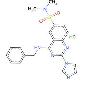 CN(C)S(=O)(=O)c1ccc2nc(-n3ccnc3)nc(NCc3ccccc3)c2c1.Cl